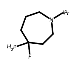 CC(C)N1CCCC(F)(P)CC1